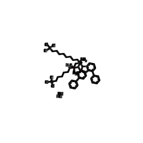 CC1=Cc2c(-c3ccccc3)cccc2[CH]1[Zr](=[SiH2])([CH2]CCCCCCC[Si](Cl)(Cl)Cl)([CH2]CCCCCCC[Si](Cl)(Cl)Cl)[CH]1C(C)=Cc2c(-c3ccccc3)cccc21.Cl.Cl